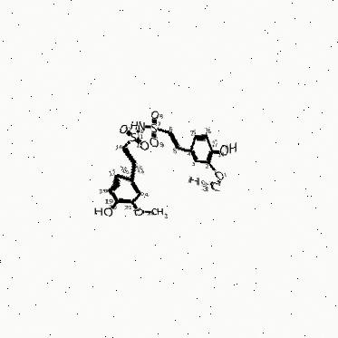 COc1cc(C=CS(=O)(=O)NS(=O)(=O)C=Cc2ccc(O)c(OC)c2)ccc1O